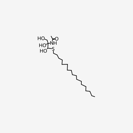 CCCCCCCCCCCCCCCCCCSC(O)C(O)(CO)NC(C)=O